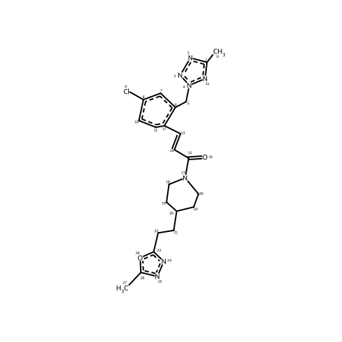 Cc1nnn(Cc2cc(Cl)ccc2C=CC(=O)N2CCC(CCc3nnc(C)o3)CC2)n1